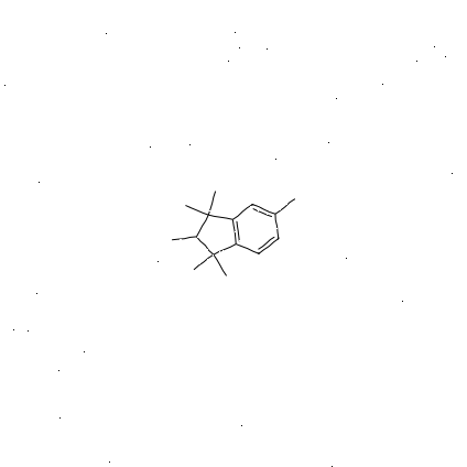 Cc1ccc2c(c1)C(C)(C)C(C)C2(C)C